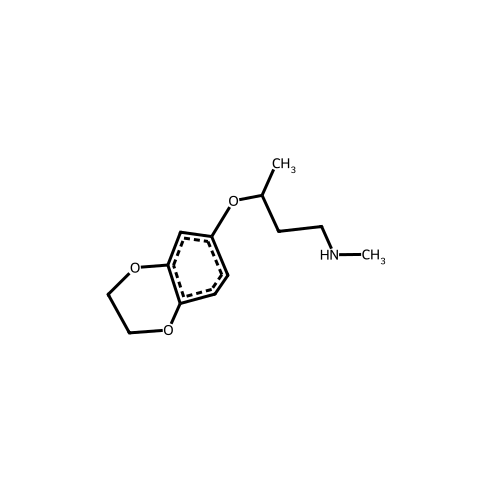 CNCCC(C)Oc1ccc2c(c1)OCCO2